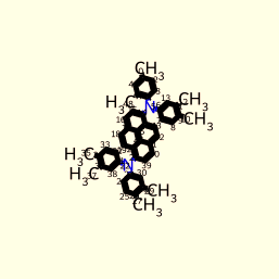 Cc1ccc(N(c2ccc(C)c(C)c2)c2ccc3ccc4c(N(c5ccc(C)c(C)c5)c5ccc(C)c(C)c5)ccc5ccc2c3c54)c(C)c1